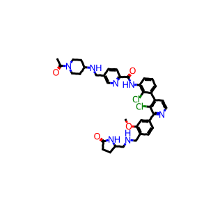 COc1cc(-c2nccc(-c3cccc(NC(=O)c4ccc(CNC5CCN(C(C)=O)CC5)cn4)c3Cl)c2Cl)ccc1CNCC1CCC(=O)N1